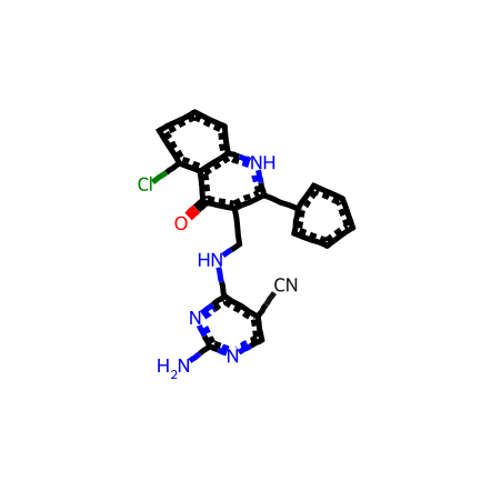 N#Cc1cnc(N)nc1NCc1c(-c2ccccc2)[nH]c2cccc(Cl)c2c1=O